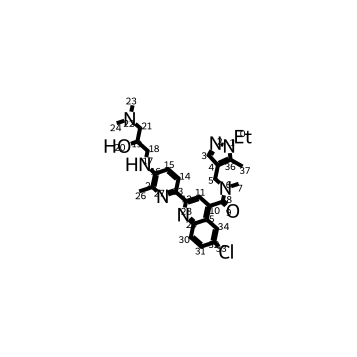 CCn1ncc(CN(C)C(=O)c2cc(-c3ccc(NCC(O)CN(C)C)c(C)n3)nc3ccc(Cl)cc23)c1C